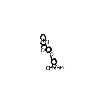 CC(C)n1nc(Cl)c2cc(COc3ccc4c(c3)OCC(CN3CCCCC3)=C4Cl)ccc21